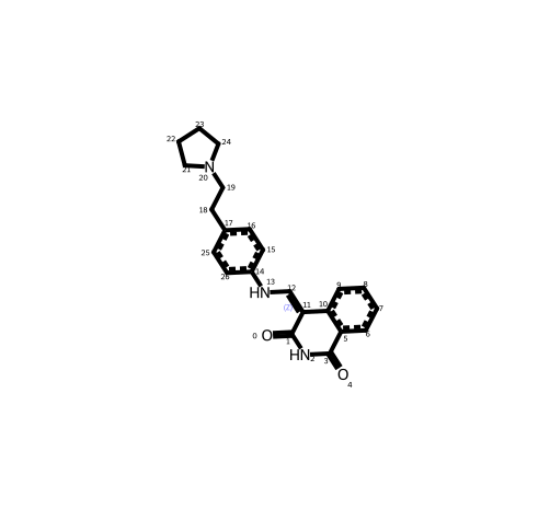 O=C1NC(=O)c2ccccc2/C1=C/Nc1ccc(CCN2CCCC2)cc1